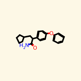 NC(=O)C(CC1CCCC1)c1ccc(Oc2ccccc2)cc1